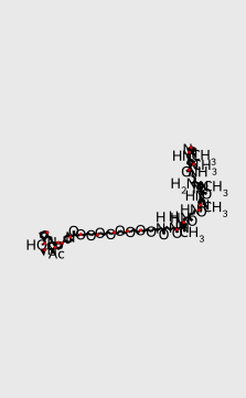 CC(=O)N1c2ccc(C3=CCN(C(=O)COCCOCCOCCOCCOCCOCCOCCOCCNC(=O)CCNC(=O)c4nc(NC(=O)CCNC(=O)c5cc(NC(=O)c6nc(C(N)CCNC(=O)c7cc(Nc8nccn8C)cn7C)cn6C)cn5C)cn4C)CC3)cc2N(Cc2ccccc2CO)C[C@@H]1C1CC1